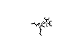 CCC[CH2][Ge]([CH3])([CH2]CCC)[O][Ge]([CH3])([CH](C)C)[CH](C)C